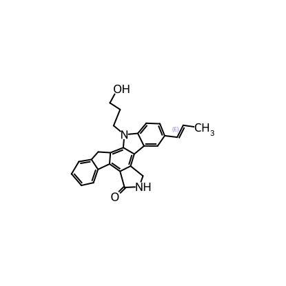 C/C=C/c1ccc2c(c1)c1c3c(c4c(c1n2CCCO)Cc1ccccc1-4)C(=O)NC3